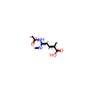 C=N/C(=C\C=C(/C)C(=O)O)NC(C)=O